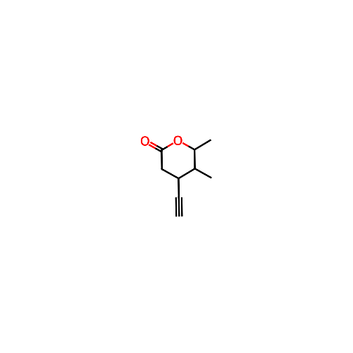 C#CC1CC(=O)OC(C)C1C